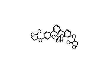 O=C1OCCC1Oc1ccc(-c2cccc(-c3ccc(OC4CCOC4=O)cc3)c2S(=O)(=O)O)cc1